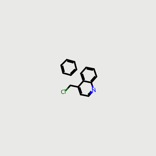 ClCc1ccnc2ccccc12.c1ccccc1